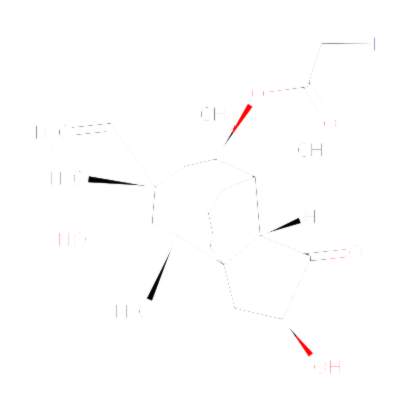 C=C[C@]1(C)C[C@@H](OC(=O)CI)[C@]2(C)[C@H](C)CC[C@]3(C[C@H](O)C(=O)[C@H]32)[C@@H](C)[C@@H]1O